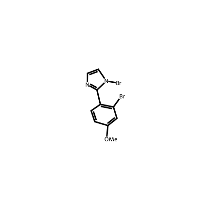 COc1ccc(-c2nccn2Br)c(Br)c1